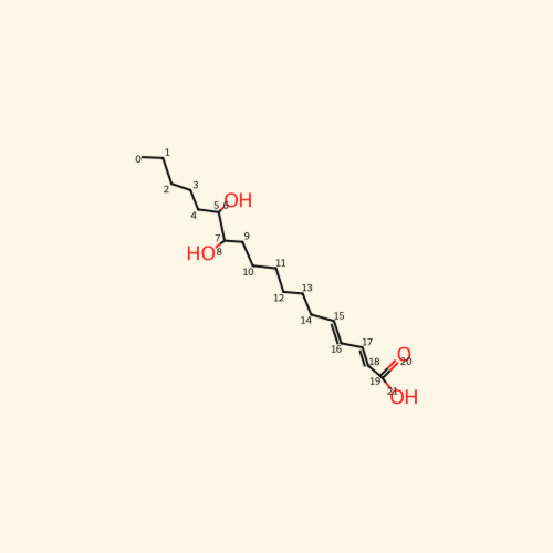 CCCCCC(O)C(O)CCCCCCC=CC=CC(=O)O